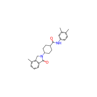 Cc1ccc(NC(=O)C2CCC(N3Cc4c(C)cccc4C3=O)CC2)cc1C